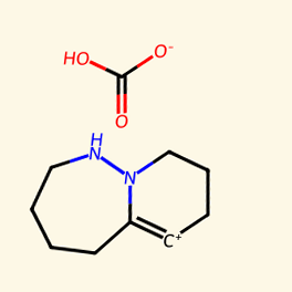 O=C([O-])O.[C+]1=C2CCCCNN2CCC1